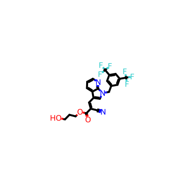 N#C/C(=C\c1cn(Cc2cc(C(F)(F)F)cc(C(F)(F)F)c2)c2ncccc12)C(=O)OCCCO